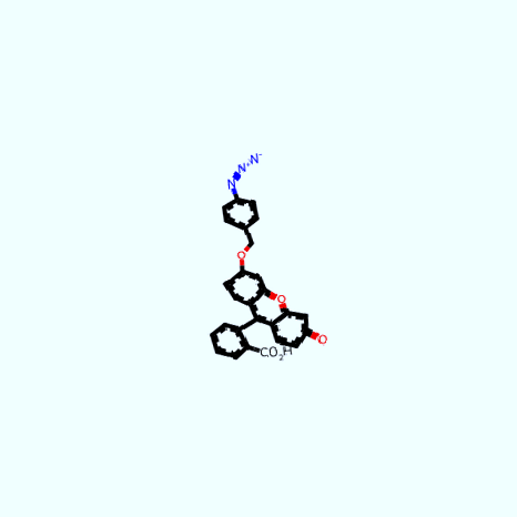 [N-]=[N+]=Nc1ccc(COc2ccc3c(-c4ccccc4C(=O)O)c4ccc(=O)cc-4oc3c2)cc1